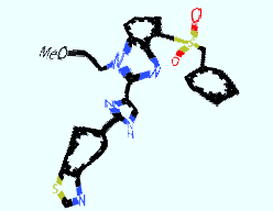 COCCn1c(-c2c[nH]c(-c3ccc4scnc4c3)n2)nc2c(S(=O)(=O)Cc3ccccc3)cccc21